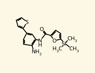 C[Si](C)(C)c1ccc(C(=O)Nc2cc(-c3cccs3)ccc2N)o1